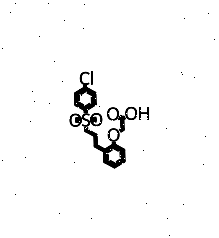 O=C(O)COc1ccccc1CCCS(=O)(=O)c1ccc(Cl)cc1